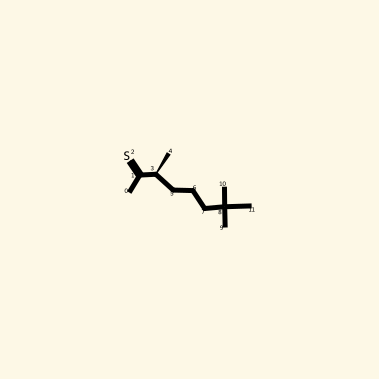 CC(=S)[C@@H](C)CCCC(C)(C)C